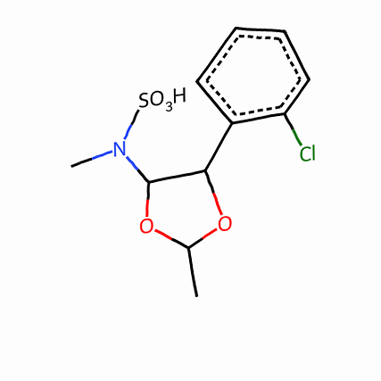 CC1OC(c2ccccc2Cl)C(N(C)S(=O)(=O)O)O1